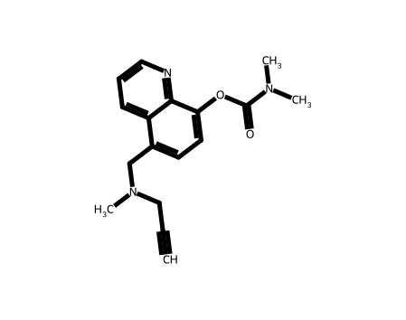 C#CCN(C)Cc1ccc(OC(=O)N(C)C)c2ncccc12